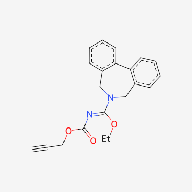 C#CCOC(=O)/N=C(\OCC)N1Cc2ccccc2-c2ccccc2C1